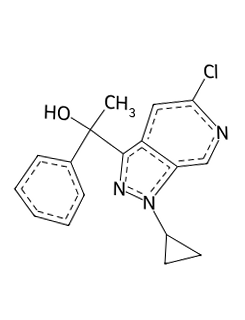 CC(O)(c1ccccc1)c1nn(C2CC2)c2cnc(Cl)cc12